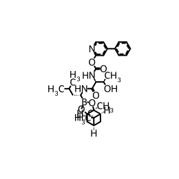 CC(C)C[C@H](NC(=O)[C@@H](NC(=O)Oc1cc(-c2ccccc2)ccn1)[C@@H](C)O)B1O[C@@H]2C[C@@H]3C[C@@H](C3(C)C)[C@]2(C)O1